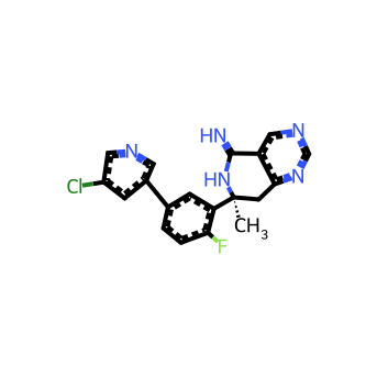 C[C@@]1(c2cc(-c3cncc(Cl)c3)ccc2F)Cc2ncncc2C(=N)N1